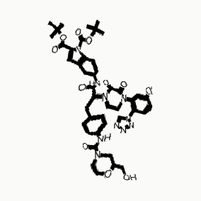 CC(C)(C)OC(=O)c1cc2cc(NC(=O)C(Cc3ccc(NC(=O)N4CCOC(CO)C4)cc3)N3CCN(c4cc(Cl)ccc4-n4cnnn4)C(=O)C3=O)ccc2n1C(=O)OC(C)(C)C